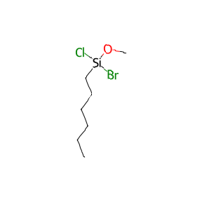 CCCCCC[Si](Cl)(Br)OC